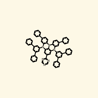 c1ccc(-c2cc(-c3ccccc3)cc(N3c4cc(-c5ccccc5)ccc4B4c5ccc(-c6ccccc6)cc5N(c5cc(-c6ccccc6)cc(-c6ccccc6)c5)c5cc(-c6ncncn6)cc3c54)c2)cc1